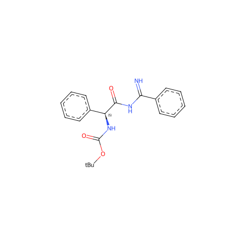 CC(C)(C)OC(=O)N[C@H](C(=O)NC(=N)c1ccccc1)c1ccccc1